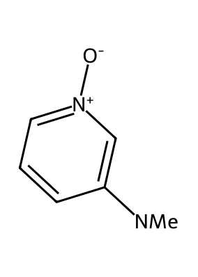 CNc1ccc[n+]([O-])c1